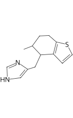 CC1CCc2sccc2C1Cc1c[nH]cn1